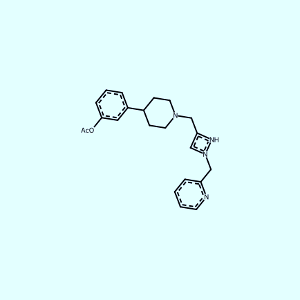 CC(=O)Oc1cccc(C2CCN(Cc3cn(Cc4ccccn4)[nH]3)CC2)c1